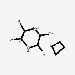 C1CCC1.FC1NC(F)C(F)OC1F